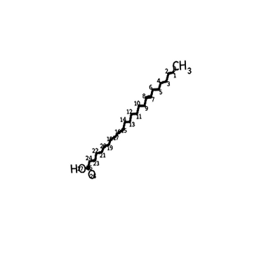 CCCCCCCC=CCCCCCCCCCCCCCCCCC(=O)O